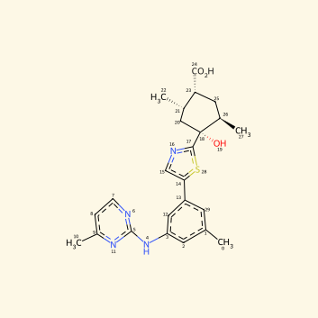 Cc1cc(Nc2nccc(C)n2)cc(-c2cnc([C@@]3(O)C[C@H](C)[C@H](C(=O)O)C[C@H]3C)s2)c1